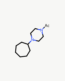 CC(=O)N1CCN(C2CCCCCC2)CC1